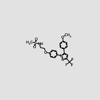 COc1ccc(-c2cc(C(F)(F)F)nn2-c2ccc(OCCNS(C)(=O)=O)cc2)cc1